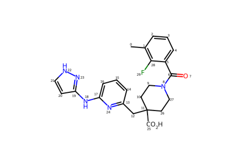 Cc1cccc(C(=O)N2CCC(Cc3cccc(Nc4cc[nH]n4)n3)(C(=O)O)CC2)c1F